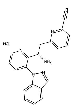 Cl.N#Cc1cccc(C[C@H](N)c2ncccc2-n2ncc3ccccc32)n1